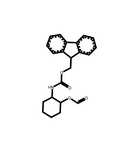 O=COC1CCCCC1NC(=O)OCC1c2ccccc2-c2ccccc21